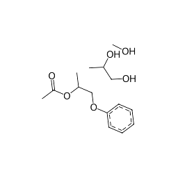 CC(=O)OC(C)COc1ccccc1.CC(O)CO.CO